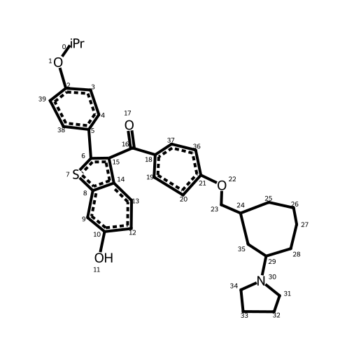 CC(C)Oc1ccc(-c2sc3cc(O)ccc3c2C(=O)c2ccc(OCC3CCCCC(N4CCCC4)C3)cc2)cc1